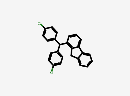 Clc1ccc(C(c2ccc(Cl)cc2)c2cccc3c2Cc2ccccc2-3)cc1